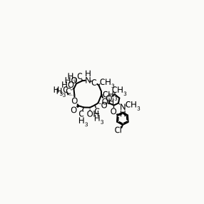 CC[C@H]1OC(=O)[C@H](C)[C@@H](O)[C@H](C)[C@@H](O[C@@H]2O[C@H](C)C[C@H](NC)[C@H]2Oc2cccc(Cl)c2)[C@](C)(O)C[C@@H](C)CN[C@H](C)[C@@H](O)[C@]1(C)O